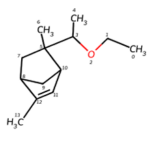 CCOC(C)C1(C)CC2CC1C=C2C